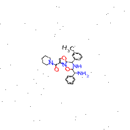 Cc1cccc(C(NC(=O)[C@@H](N)c2ccccc2)c2nc(C(=O)N3CCCCC3)co2)c1